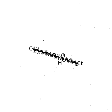 [CH2]COCCOCCOC(=O)NCCOCCOCCCCCCCl